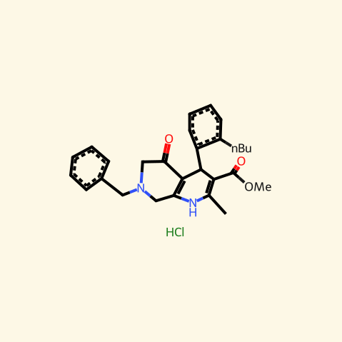 CCCCc1ccccc1C1C(C(=O)OC)=C(C)NC2=C1C(=O)CN(Cc1ccccc1)C2.Cl